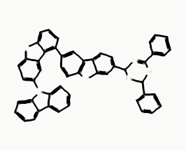 c1ccc(C2=NC(c3ccc4c(c3)oc3ccc(-c5cccc6sc7ccc(-n8c9ccccc9c9ccccc98)cc7c56)cc34)NC(c3ccccc3)N2)cc1